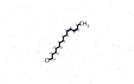 CC/C=C\C=C/CCCCCCCCCCl